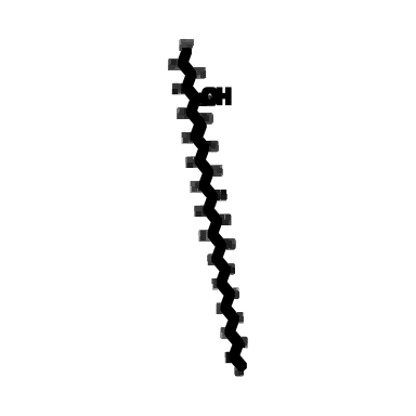 CCCCCCCCCCCCCCCCCCCC=CCC(O)CCCC